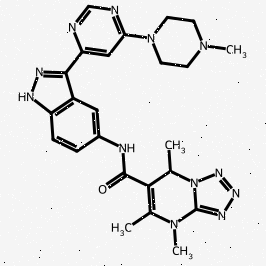 CC1=C(C(=O)Nc2ccc3[nH]nc(-c4cc(N5CCN(C)CC5)ncn4)c3c2)C(C)n2nnnc2N1C